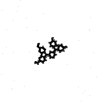 C=Cc1ccc2c(c1)c1cc(C=C)ccc1n2-c1cncc(-n2c3ccc(C)cc3c3cc(C)ccc32)c1